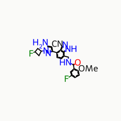 COc1ccc(F)cc1C(=O)NCc1ccc(-c2nn(C3CC(F)C3)c(N)c2C#N)c2cn[nH]c12